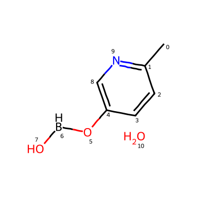 Cc1ccc(OBO)cn1.O